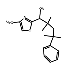 COc1coc(C(O)C(C)(C)CC(C)(C)c2ccccc2)n1